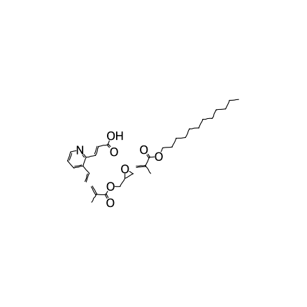 C=C(C)C(=O)OCC1CO1.C=C(C)C(=O)OCCCCCCCCCCCC.C=Cc1cccnc1C=CC(=O)O